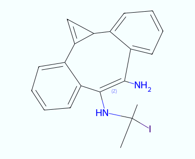 CC(C)(I)N/C1=C(\N)c2ccccc2C2C=C2c2ccccc21